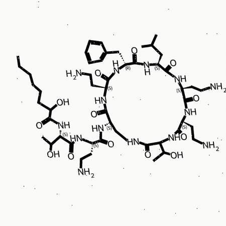 CCCCCCC(O)C(=O)N[C@H](C(=O)N[C@@H](CCN)C(=O)N[C@H]1CCNC(=O)C(C(C)O)NC(=O)[C@H](CCN)NC(=O)[C@H](CCN)NC(=O)[C@H](CC(C)C)NC(=O)[C@@H](Cc2ccccc2)NC(=O)[C@H](CCN)NC1=O)C(C)O